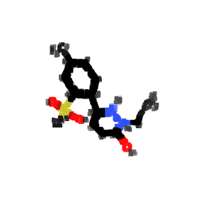 CCS(=O)(=O)c1cc(C(F)(F)F)ccc1-c1ccc(=O)n(CC(F)(F)F)n1